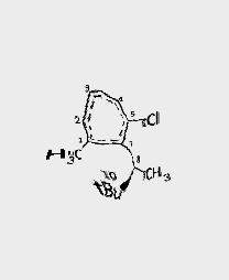 Cc1cccc(Cl)c1[C@@H](C)C(C)(C)C